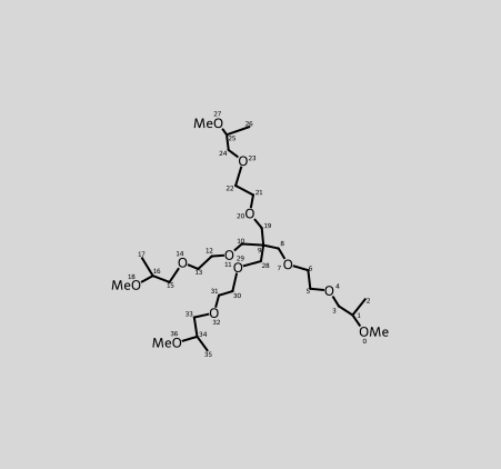 COC(C)COCCOCC(COCCOCC(C)OC)(COCCOCC(C)OC)COCCOCC(C)OC